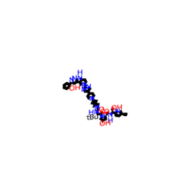 C#Cc1ccc([C@H](CO)NC(=O)[C@@H]2C[C@@H](O)CN2C(=O)[C@@H](NC(=O)N2CC3(CC(N4CCC(c5cnc(N6CCC7Nc8nnc(-c9ccccc9O)cc8C7[C@H]6C)nc5)CC4)C3)C2)C(C)(C)C)nc1